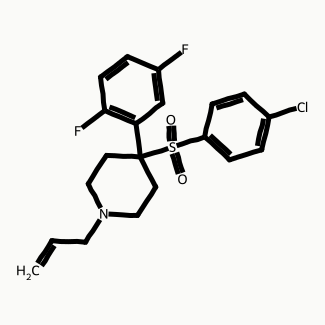 C=CCN1CCC(c2cc(F)ccc2F)(S(=O)(=O)c2ccc(Cl)cc2)CC1